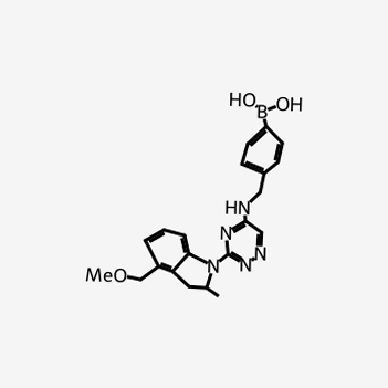 COCc1cccc2c1CC(C)N2c1nncc(NCc2ccc(B(O)O)cc2)n1